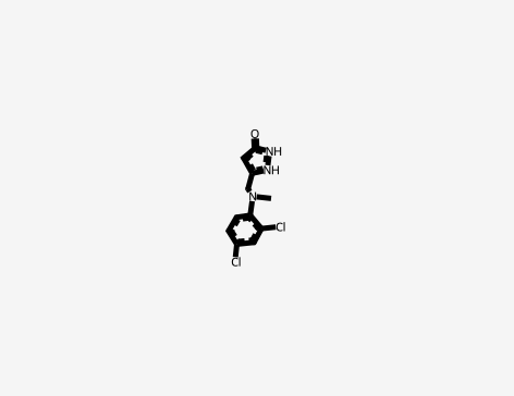 CN(Cc1cc(=O)[nH][nH]1)c1ccc(Cl)cc1Cl